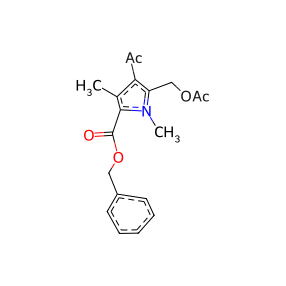 CC(=O)OCc1c(C(C)=O)c(C)c(C(=O)OCc2ccccc2)n1C